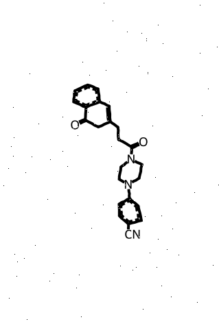 N#Cc1ccc(N2CCN(C(=O)CCC3=Cc4ccccc4C(=O)C3)CC2)cc1